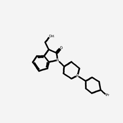 CC(C)C1CCC(N2CCC(N3C(=O)C(CO)c4ccccc43)CC2)CC1